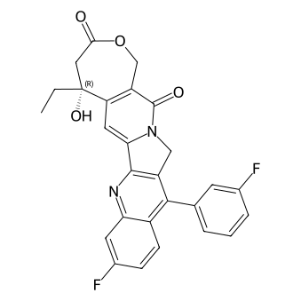 CC[C@@]1(O)CC(=O)OCc2c1cc1n(c2=O)Cc2c-1nc1cc(F)ccc1c2-c1cccc(F)c1